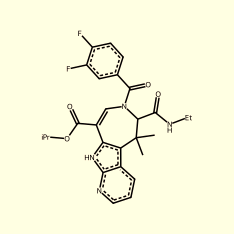 CCNC(=O)C1N(C(=O)c2ccc(F)c(F)c2)C=C(C(=O)OC(C)C)c2[nH]c3ncccc3c2C1(C)C